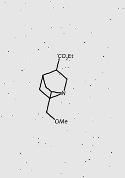 CCOC(=O)C1CN2CCC1CC2COC